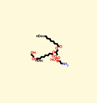 CCCCCCCCCCCCCCCCCC(=O)OCC(COP(=O)(O)OCCN)OC(=O)CCCCCCCCCCCCCCCCC.OCCO